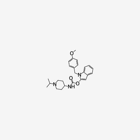 COc1ccc(Cn2c(OC(=O)NC3CCN(C(C)C)CC3)cc3ccccc32)cc1